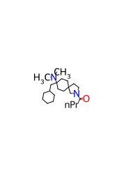 CCCC(=O)N1CCC2(CCC(CC3CCCCC3)(N(C)C)CC2)C1